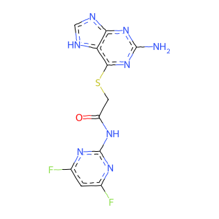 Nc1nc(SCC(=O)Nc2nc(F)cc(F)n2)c2[nH]cnc2n1